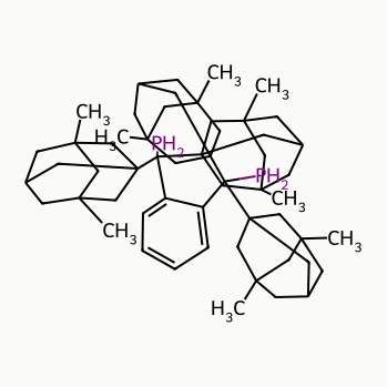 CC12CC3CC(C)(C1)CC(C(P)(c1ccccc1C(P)(C14CC5CC(C)(CC(C)(C5)C1)C4)C14CC5CC(C)(CC(C)(C5)C1)C4)C14CC5CC(C)(CC(C)(C5)C1)C4)(C3)C2